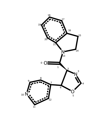 O=C([C@H]1N=COC1c1ccncc1)N1CCc2ccccc21